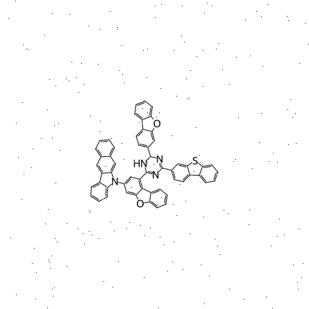 c1ccc2cc3c(cc2c1)c1ccccc1n3-c1cc(C2=NC(c3ccc4c(c3)sc3ccccc34)=NC(c3ccc4c(c3)oc3ccccc34)N2)c2c(c1)oc1ccccc12